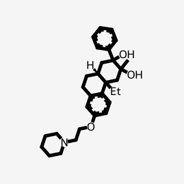 CCC12CC(C)(O)C(O)(c3ccccc3)C[C@H]1CCc1cc(OCCN3CCCCC3)ccc12